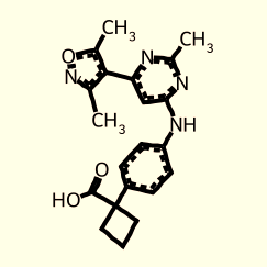 Cc1nc(Nc2ccc(C3(C(=O)O)CCC3)cc2)cc(-c2c(C)noc2C)n1